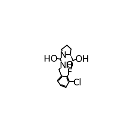 O=C(O)[C@@H]1CCCN1C(O)NCc1cccc(Cl)c1F